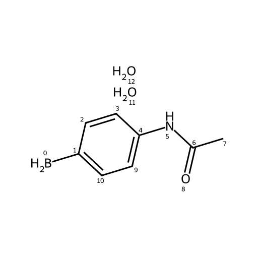 Bc1ccc(NC(C)=O)cc1.O.O